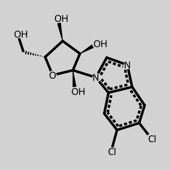 OC[C@H]1O[C@@](O)(n2cnc3cc(Cl)c(Cl)cc32)[C@H](O)[C@@H]1O